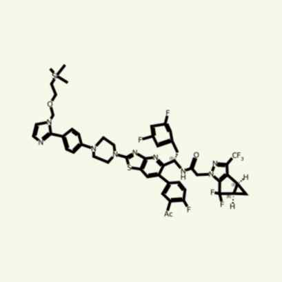 CC(=O)c1cc(-c2cc3sc(N4CCN(c5ccc(-c6nccn6COCC[Si](C)(C)C)cc5)CC4)nc3nc2[C@H](Cc2cc(F)cc(F)c2)NC(=O)Cn2nc(C(F)(F)F)c3c2C(F)(F)[C@@H]2C[C@H]32)ccc1F